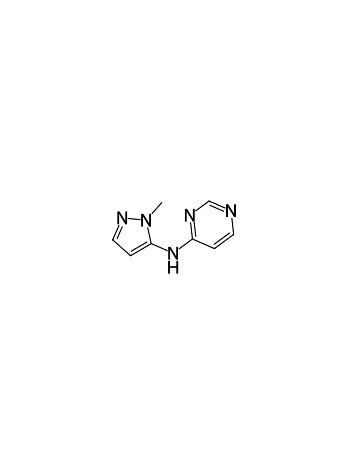 Cn1nccc1Nc1ccncn1